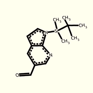 CC(C)(C)[Si](C)(C)n1ccc2cc(C=O)cnc21